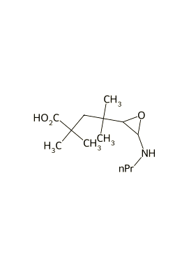 CCCNC1OC1C(C)(C)CC(C)(C)C(=O)O